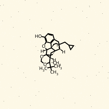 CC(C)(C)[C@@]1(C)OCOC23CC[C@@]4(C[C@@H]21)[C@H]1Cc2ccc(O)c5c2[C@@]4(CCN1CC1CC1)[C@H]3O5